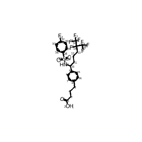 O=C(O)CCCc1ccc(C(CCCC(F)(C(F)(F)F)C(F)(F)F)NS(=O)(=O)c2ccc(F)cc2)cc1